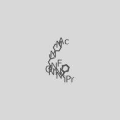 CC(=O)N1CCC(N2CC(Cc3nc(-n4nc(C(C)C)c5cccc(F)c54)no3)C2)CC1